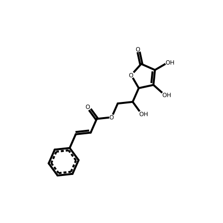 O=C(C=Cc1ccccc1)OCC(O)C1OC(=O)C(O)=C1O